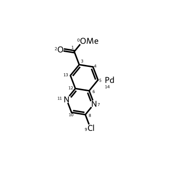 COC(=O)c1ccc2nc(Cl)cnc2c1.[Pd]